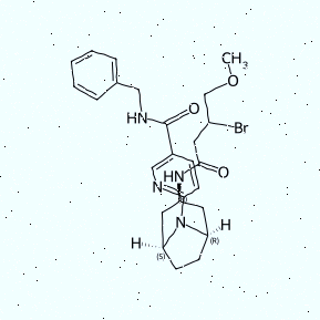 COCC(Br)CC(=O)N[C@H]1C[C@H]2CC[C@@H](C1)N2c1ccc(C(=O)NCc2ccccc2)cn1